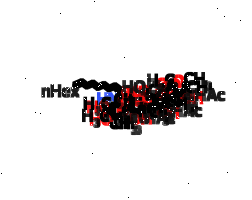 CCCCCC/C=C\CCCCC/C=C\C(=O)NC1(C)[C@](C)(O[C@]2(C)C(C)(CO)O[C@@](C)(O[C@]3(C)C(C)(CO)O[C@@](C)(O[C@]4(C)C(C)(COS(=O)(=O)O)OC(C)C(C)(NC(C)=O)[C@@]4(C)O)C(C)(NC(C)=O)[C@@]3(C)O)C(C)(NC(C)=O)[C@@]2(C)O)OC(C)(CC)[C@@](C)(O)[C@]1(C)O